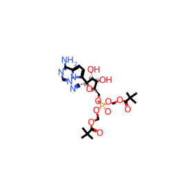 CC(C)(C)C(=O)OCOP(=O)(OCOC(=O)C(C)(C)C)OC[C@H]1O[C@@](C#N)(c2ccc3c(N)ncnn23)[C@H](O)[C@@H]1O